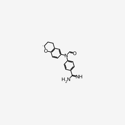 N=C(N)c1ccc(N(C=O)c2ccc3c(c2)CC[CH]O3)cc1